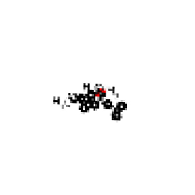 CC(C)Cc1ccc2c(c1)C1(c3ccccc3-c3ccc(N(c4ccccc4)c4ccc(-n5c6ccccc6c6ccccc65)cc4)cc31)c1cc(CC(C)C)ccc1-2